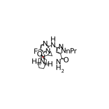 CCCn1nc(Nc2ncc(F)c(N3C[C@H]4CC[C@@H](C3)N4C(=O)C3CC3)n2)cc1C(N)=O